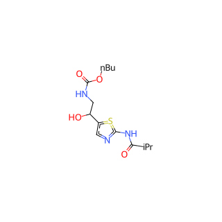 CCCCOC(=O)NCC(O)c1cnc(NC(=O)C(C)C)s1